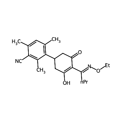 CCCC(=NOCC)C1=C(O)CC(c2c(C)cc(C)c(C#N)c2C)CC1=O